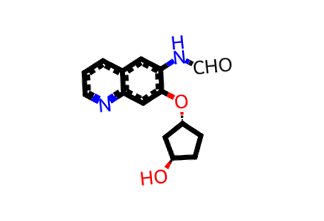 O=CNc1cc2cccnc2cc1O[C@@H]1CC[C@@H](O)C1